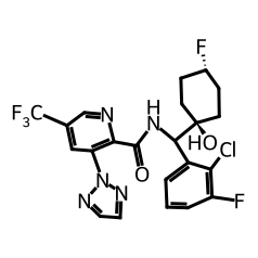 O=C(NC(c1cccc(F)c1Cl)[C@]1(O)CC[C@H](F)CC1)c1ncc(C(F)(F)F)cc1-n1nccn1